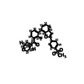 CS(=O)(=O)c1ccc(-c2cc3nccc(-c4cccc(C(=O)N5C[C@H]6C[C@@H]5CO6)c4F)c3o2)cc1